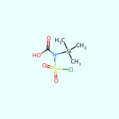 C[Si](C)(C)N(C(=O)O)S(=O)(=O)Cl